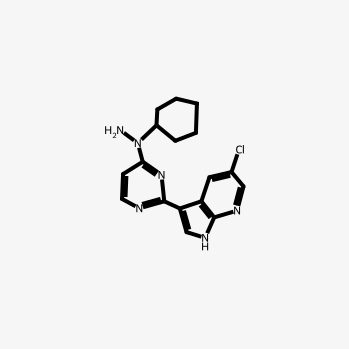 NN(c1ccnc(-c2c[nH]c3ncc(Cl)cc23)n1)C1CCCCC1